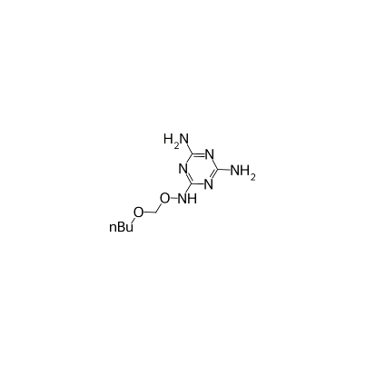 CCCCOCONc1nc(N)nc(N)n1